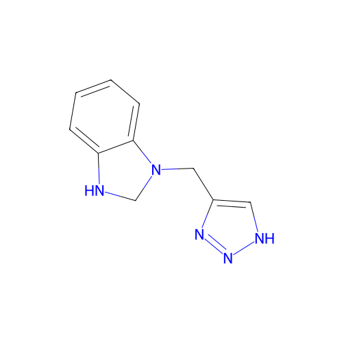 c1ccc2c(c1)NCN2Cc1c[nH]nn1